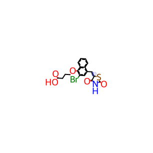 O=C(O)CCCOc1c(Br)cc(/C=C2/SC(=O)NC2=O)c2ccccc12